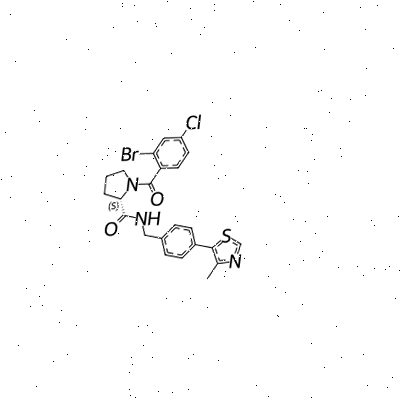 Cc1ncsc1-c1ccc(CNC(=O)[C@@H]2CCCN2C(=O)c2ccc(Cl)cc2Br)cc1